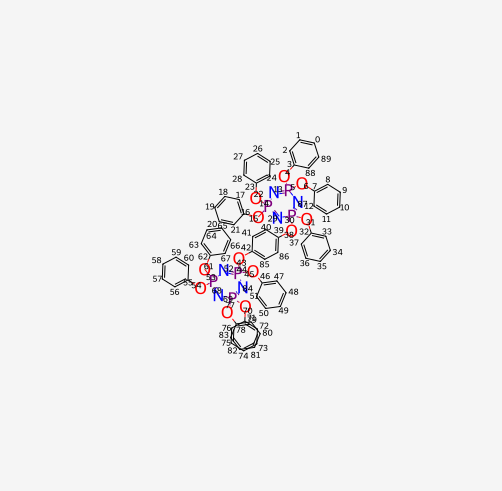 c1ccc(OP2(Oc3ccccc3)=NP(Oc3ccccc3)(Oc3ccccc3)=NP(Oc3ccccc3)(Oc3ccc(OP4(Oc5ccccc5)=NP(Oc5ccccc5)(Oc5ccccc5)=NP(Oc5ccccc5)(Oc5ccccc5)=N4)cc3)=N2)cc1